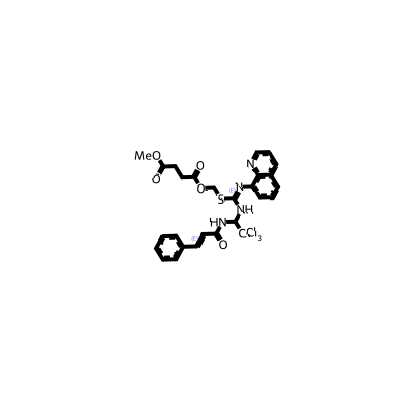 COC(=O)CCC(=O)OCS/C(=N/c1cccc2cccnc12)NC(NC(=O)/C=C/c1ccccc1)C(Cl)(Cl)Cl